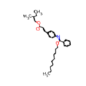 CCCCCCCCCCOC(=Nc1ccc(C=CC(=O)OCC(C)CC)cc1)c1ccccc1